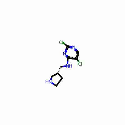 Clc1ncc(Cl)c(NC[C@@H]2CCNC2)n1